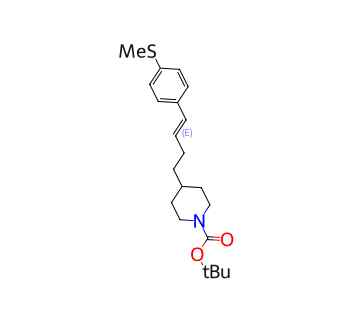 CSc1ccc(/C=C/CCC2CCN(C(=O)OC(C)(C)C)CC2)cc1